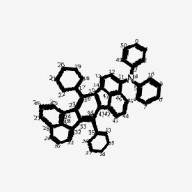 c1ccc(N(c2ccccc2)c2ccc3c4c(C5CCCCC5)c5c6cccc7cccc(c5c(C5CCCCC5)c4c4cccc2c43)c76)cc1